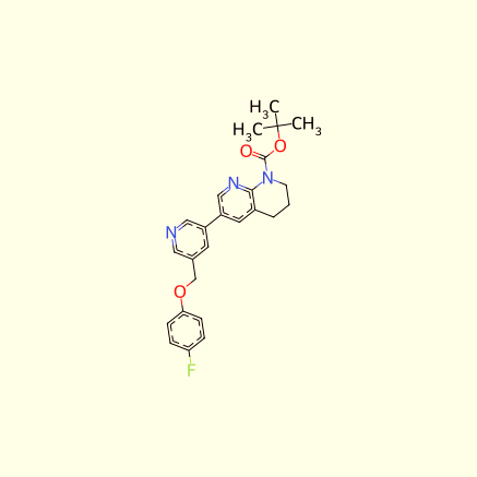 CC(C)(C)OC(=O)N1CCCc2cc(-c3cncc(COc4ccc(F)cc4)c3)cnc21